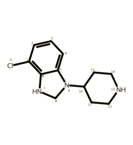 Clc1cccc2c1N[CH]N2C1CCNCC1